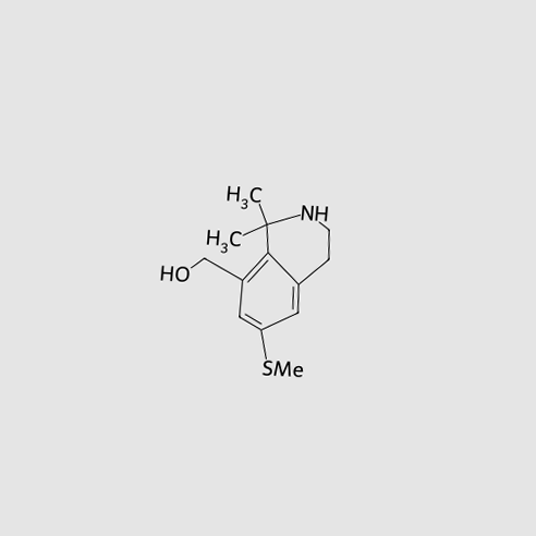 CSc1cc(CO)c2c(c1)CCNC2(C)C